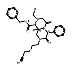 C#CCOCCN1C[C@H]2N(C(=O)CN(CF)N2C(=O)NCc2ccccc2)[C@@H](c2ccccc2)C1=O